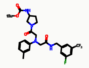 Cc1cccc(N(CC(=O)NCc2cc(F)cc(C(F)(F)F)c2)CC(=O)N2CCC(NC(=O)OC(C)(C)C)C2)c1